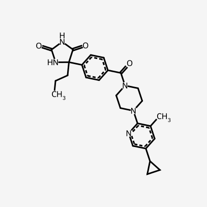 CCCC1(c2ccc(C(=O)N3CCN(c4ncc(C5CC5)cc4C)CC3)cc2)NC(=O)NC1=O